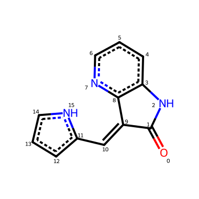 O=C1Nc2cccnc2/C1=C\c1ccc[nH]1